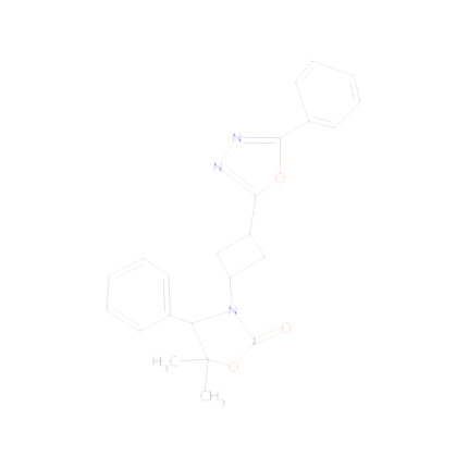 CC1(C)OC(=O)N(C2CC(c3nnc(-c4ccccc4)o3)C2)C1c1ccccc1